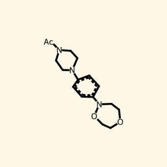 CC(=O)N1CCN(c2ccc(N3CCOCCO3)cc2)CC1